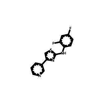 Fc1ccc(Nc2nc(-c3cccnc3)cs2)c(F)c1